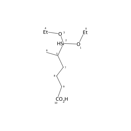 CCO[SiH](OCC)C(C)CCCC(=O)O